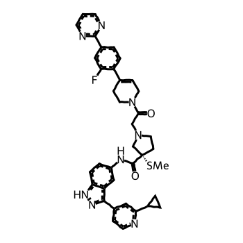 CS[C@@]1(C(=O)Nc2ccc3[nH]nc(-c4ccnc(C5CC5)c4)c3c2)CCN(CC(=O)N2CC=C(c3ccc(-c4ncccn4)cc3F)CC2)C1